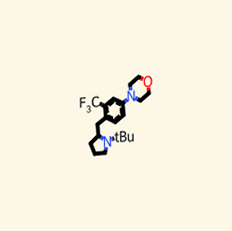 CC(C)(C)N1CCCC1Cc1ccc(N2CCOCC2)cc1C(F)(F)F